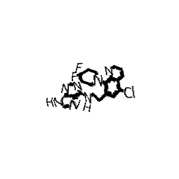 FC1(F)CCN(c2c(CCNc3ncnc4[nH]cnc34)cc(Cl)c3cccnc23)CC1